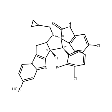 O=C(O)c1ccn2c3c(nc2c1)[C@@H]1C(C3)N(CC2CC2)[C@@]2(C(=O)Nc3cc(Cl)ccc32)[C@H]1c1cccc(Cl)c1F